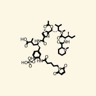 CC[C@H](C)[C@H](NC(=O)C1CCCCN1C)C(=O)N(C)[C@H](C[C@@H](OC(C)=O)c1nc(C(=O)N[C@@H](Cc2ccc(OP(=O)(O)O)c(NC(=O)CCCCN3C(=O)C=CC3=O)c2)CC(C)C(=O)O)cs1)C(C)C